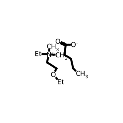 CCCCC(=O)[O-].CCOCC[N+](C)(C)CC